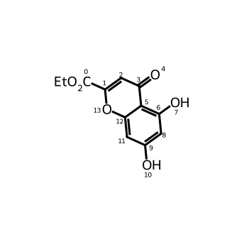 CCOC(=O)c1cc(=O)c2c(O)cc(O)cc2o1